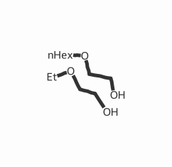 CCCCCCOCCO.CCOCCO